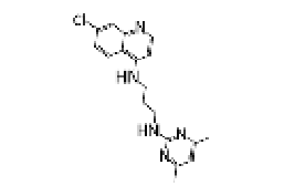 Cc1cc(C)nc(NCCCNc2ccnc3cc(Cl)ccc23)n1